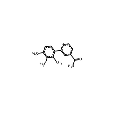 Cc1ccc(-c2cc(C(N)=O)ccn2)c(C)c1C